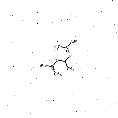 CC(O[SiH](C)C(C)(C)C)O[SiH](C)C(C)(C)C